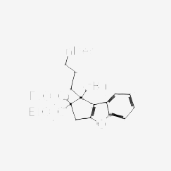 CCCCCCCCCCCCCC1(C(C)(C)C)c2c(oc3ccccc23)CC1(C(=O)OCC)C(=O)OCC